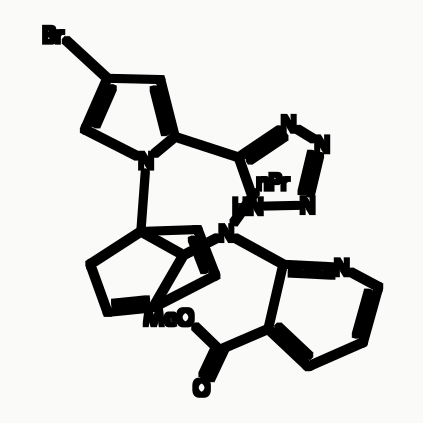 CCCN(c1ncccc1C(=O)OC)C1C2=CCC1(n1cc(Br)cc1-c1nnn[nH]1)C=C2